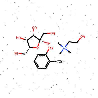 C[N+](C)(C)CCO.O=C([O-])c1ccccc1O.OC[C@H]1O[C@](O)(CO)[C@@H](O)[C@@H]1O